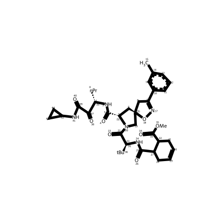 CCC[C@H](NC(=O)[C@@H]1C[C@]2(CC(c3cccc(C)c3)=NO2)CN1C(=O)[C@@H](NC(=O)C1CC=CCC1C(=O)OC)C(C)(C)C)C(=O)C(=O)NC1CC1